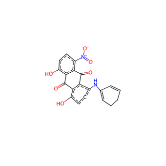 O=C1c2c(O)ccc(NC3=CCCC=C3)c2C(=O)c2c([N+](=O)[O-])ccc(O)c21